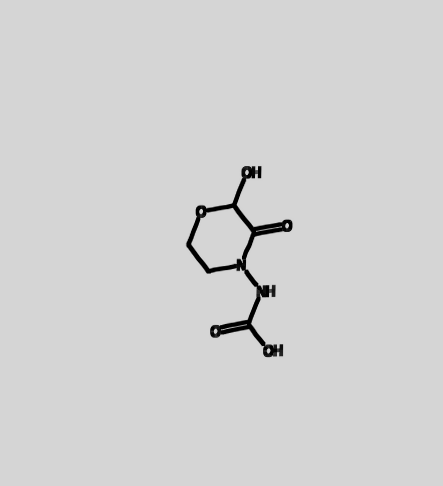 O=C(O)NN1CCOC(O)C1=O